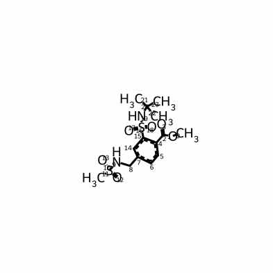 COC(=O)c1ccc(CNS(C)(=O)=O)cc1S(=O)(=O)NC(C)(C)C